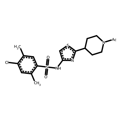 CC(=O)N1CCC(c2nc(NS(=O)(=O)c3cc(C)c(Cl)cc3C)cs2)CC1